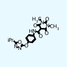 CC(C)c1nnc(Oc2ccc(NC(=O)C3C(=O)N(C)C(=O)N(C)C3=O)cc2)o1